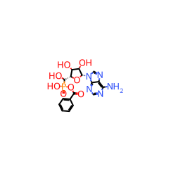 Nc1ncnc2c1ncn2[C@@H]1O[C@H](C(O)P(=O)(O)OC(=O)c2ccccc2)[C@@H](O)[C@H]1O